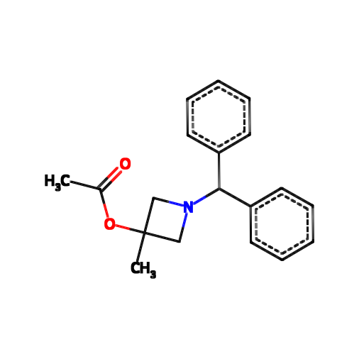 CC(=O)OC1(C)CN(C(c2ccccc2)c2ccccc2)C1